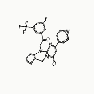 O=C(CN1c2ccccc2Cn2c1nc(-c1ccncc1)cc2=O)c1cc(F)cc(C(F)(F)F)c1